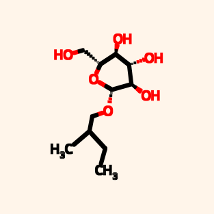 CCC(C)CO[C@@H]1O[C@H](CO)[C@@H](O)[C@H](O)[C@H]1O